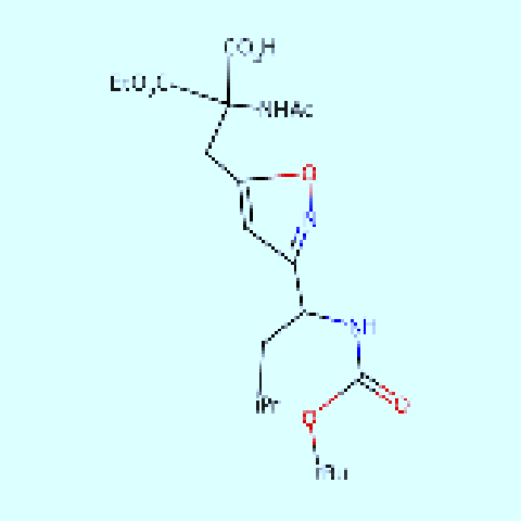 CCOC(=O)C(Cc1cc(C(CC(C)C)NC(=O)OC(C)(C)C)no1)(NC(C)=O)C(=O)O